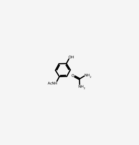 CC(=O)Nc1ccc(O)cc1.NC(N)=O